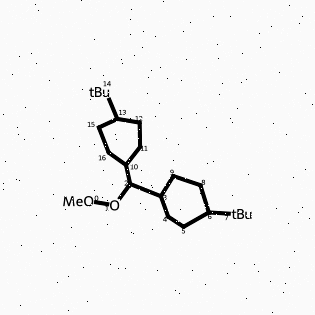 [C]OO[C](C1CCC(C(C)(C)C)CC1)C1CCC(C(C)(C)C)CC1